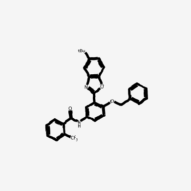 CC(C)(C)c1ccc2oc(-c3cc(NC(=O)c4ccccc4C(F)(F)F)ccc3OCc3ccccc3)nc2c1